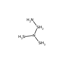 N[SiH2]N([SiH3])[SiH3]